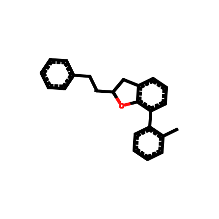 Cc1ccccc1-c1cccc2c1OC([CH]Cc1ccccc1)C2